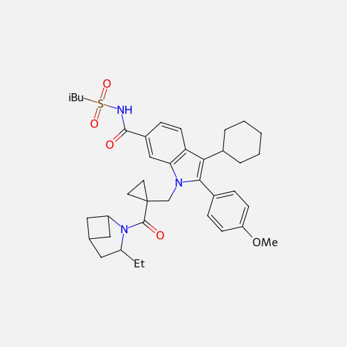 CCC1CC2CC(C2)N1C(=O)C1(Cn2c(-c3ccc(OC)cc3)c(C3CCCCC3)c3ccc(C(=O)NS(=O)(=O)C(C)CC)cc32)CC1